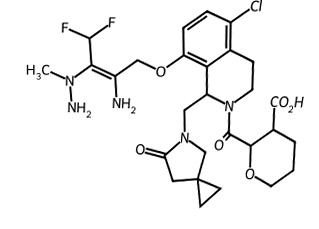 CN(N)/C(=C(\N)COc1ccc(Cl)c2c1C(CN1CC3(CC3)CC1=O)N(C(=O)C1OCCCC1C(=O)O)CC2)C(F)F